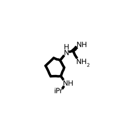 CC(C)NC1CCCC(NC(=N)N)C1